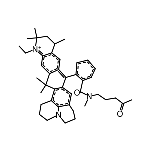 CC[N+]1=c2cc3c(cc2C(C)CC1(C)C)=C(c1ccccc1C(=O)N(C)CCCC(C)=O)c1cc2c4c(c1C3(C)C)CCCN4CCC2